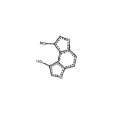 Oc1coc2ccc3scc(O)c3c12